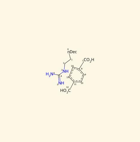 CCCCCCCCCCCCNC(=N)N.O=C(O)c1ccc(C(=O)O)cc1